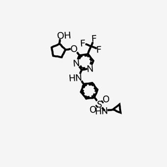 O=S(=O)(NC1CC1)c1ccc(Nc2ncc(C(F)(F)F)c(OC3CCCC3O)n2)cc1